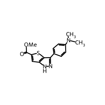 COC(=O)c1cc2[nH]nc(-c3ccc(N(C)C)cc3)c2s1